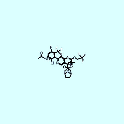 CC(=O)Nc1cc(F)c(C(F)(F)F)c(-c2ncc3c(N4CC5CCC(C4)N5C(=O)OC(C)(C)C)nc(OCC(F)(F)F)nc3c2F)c1Cl